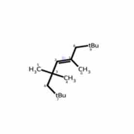 C/C(=C\C(C)(C)CC(C)(C)C)CC(C)(C)C